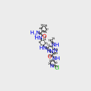 N[C@@H](C(=O)NC1CCC(Nc2cc(NC3CC3)c3ncc(C(=O)Nc4ccnc(Cl)c4)n3n2)CC1)c1ccccc1